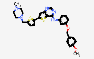 COc1ccc(COc2cccc(Nc3ncnc4cc(-c5ccc(CN6CCN(C)CC6)s5)sc34)c2)cc1